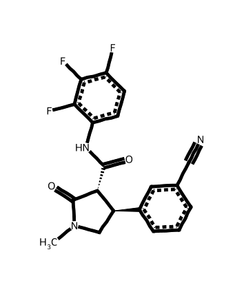 CN1C[C@H](c2cccc(C#N)c2)[C@@H](C(=O)Nc2ccc(F)c(F)c2F)C1=O